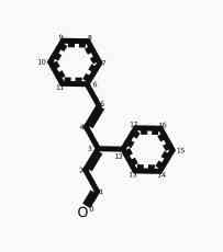 O=CC=C(C=Cc1ccccc1)c1ccccc1